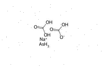 O=C(O)O.O=C([O-])O.[AsH3].[Na+]